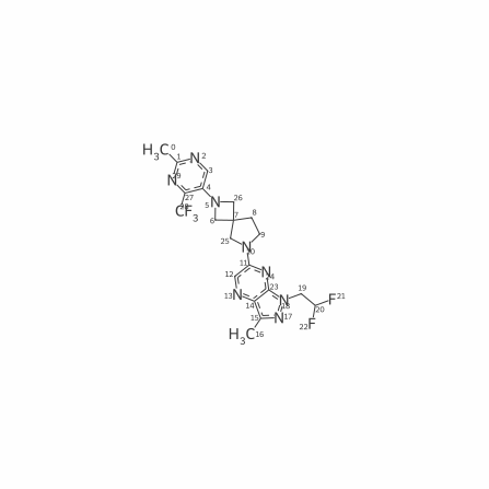 Cc1ncc(N2CC3(CCN(c4cnc5c(C)nn(CC(F)F)c5n4)C3)C2)c(C(F)(F)F)n1